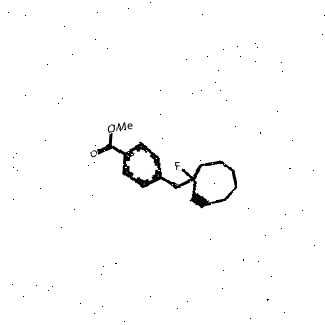 COC(=O)c1ccc(CC2(F)C#CCCCCC2)cc1